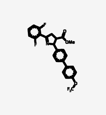 COC(=O)C1CC(c2c(F)cccc2F)=NC1c1ccc(-c2ccc(OC(F)(F)F)cc2)cc1